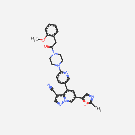 COc1ccccc1CC(=O)N1CCN(c2ccc(-c3cc(-c4cnc(C)o4)cn4ncc(C#N)c34)cn2)CC1